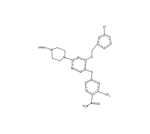 CCCCCCN1CCN(c2ncc(Sc3ccc(C(N)=O)c(C(F)(F)F)c3)c(OCc3cccc(Cl)c3)n2)CC1